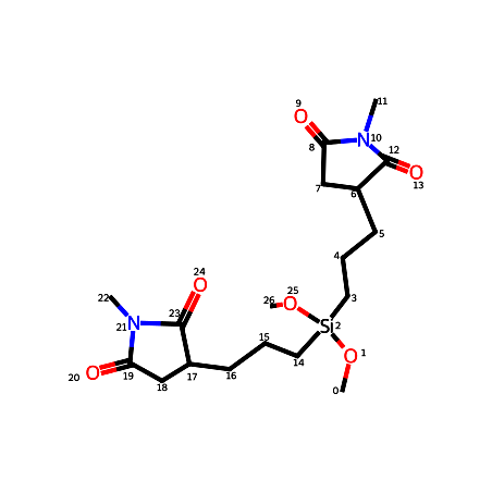 CO[Si](CCCC1CC(=O)N(C)C1=O)(CCCC1CC(=O)N(C)C1=O)OC